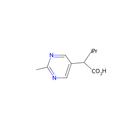 Cc1ncc(C(C(=O)O)C(C)C)cn1